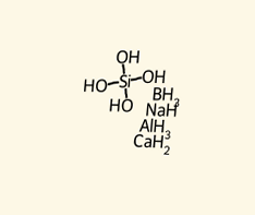 B.O[Si](O)(O)O.[AlH3].[CaH2].[NaH]